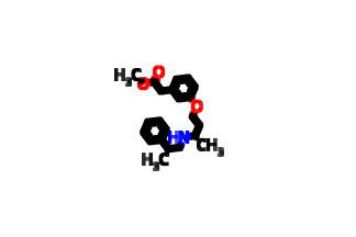 COC(=O)Cc1cccc(OCC[C@@H](C)NC[C@@H](C)c2ccccc2)c1